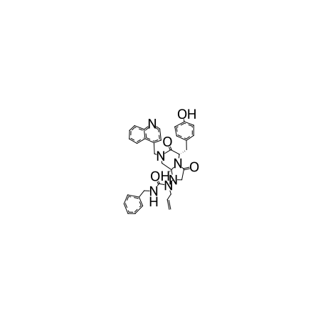 C=CCN(C(=O)NCc1ccccc1)N1CC(=O)N2[C@@H](Cc3ccc(O)cc3)C(=O)N(Cc3ccnc4ccccc34)C[C@@H]21